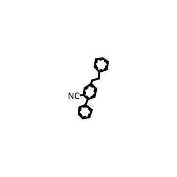 N#Cc1cc(CCc2ccccc2)ccc1-c1ccccc1